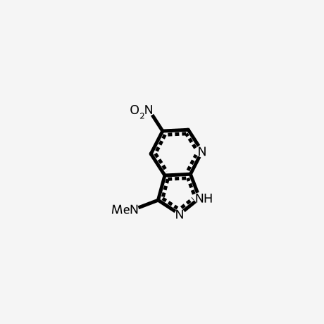 CNc1n[nH]c2ncc([N+](=O)[O-])cc12